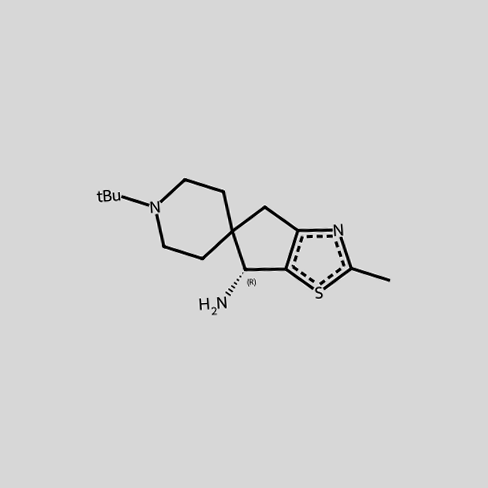 Cc1nc2c(s1)[C@H](N)C1(CCN(C(C)(C)C)CC1)C2